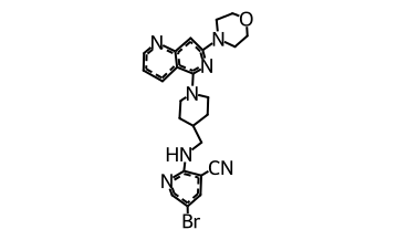 N#Cc1cc(Br)cnc1NCC1CCN(c2nc(N3CCOCC3)cc3ncccc23)CC1